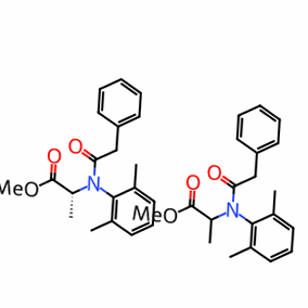 COC(=O)C(C)N(C(=O)Cc1ccccc1)c1c(C)cccc1C.COC(=O)[C@@H](C)N(C(=O)Cc1ccccc1)c1c(C)cccc1C